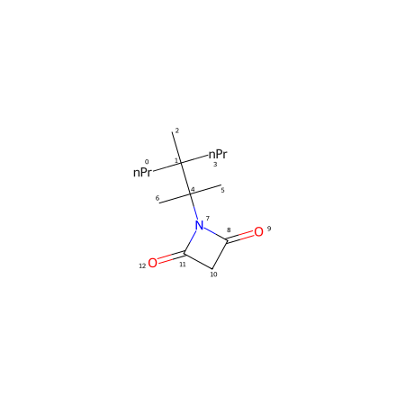 CCCC(C)(CCC)C(C)(C)N1C(=O)CC1=O